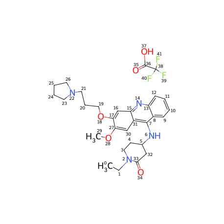 CCN1CCC(Nc2c3ccccc3nc3cc(OCCCN4CCCC4)c(OC)cc23)CC1=O.O=C(O)C(F)(F)F